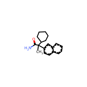 CC(C(N)=O)(c1ccc2ccccc2c1)C1CCCCC1